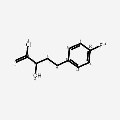 [CH]=C(Cl)C(O)CCc1ccc(F)cc1